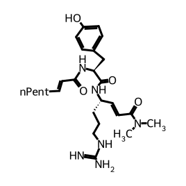 CCCCC/C=C/C(=O)N[C@@H](Cc1ccc(O)cc1)C(=O)N[C@H](/C=C/C(=O)N(C)C)CCCNC(=N)N